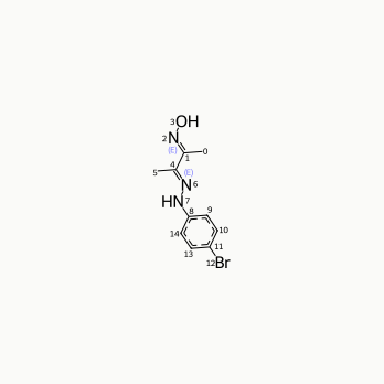 CC(=N\O)/C(C)=N/Nc1ccc(Br)cc1